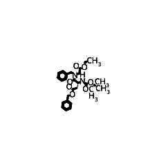 CCOC(=O)CN(Cc1ccccc1)C(=O)[C@@H](CC(=O)OCc1ccccc1)NC(=O)OC(C)(C)C